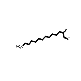 CC(CCl)CCCCCCCCCCCC(=O)O